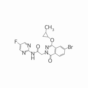 CC1CC1Oc1nn(CC(=O)Nc2ncc(F)cn2)c(=O)c2ccc(Br)cc12